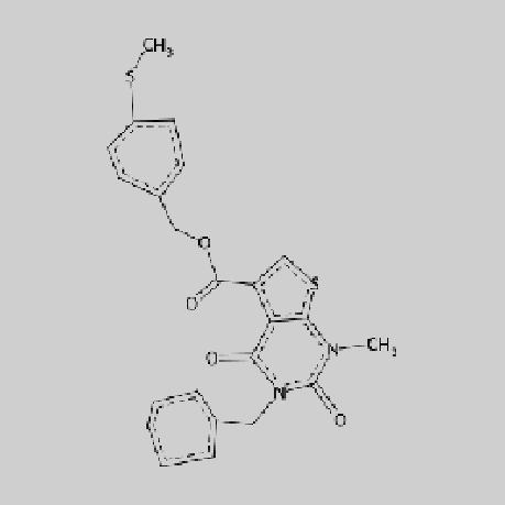 CSc1ccc(COC(=O)c2csc3c2c(=O)n(Cc2ccccc2)c(=O)n3C)cc1